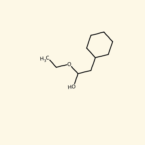 CCOC(O)CC1CCCCC1